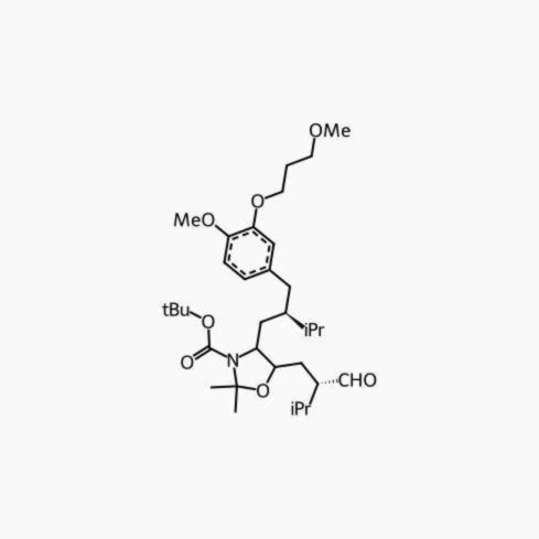 COCCCOc1cc(C[C@H](CC2C(C[C@H](C=O)C(C)C)OC(C)(C)N2C(=O)OC(C)(C)C)C(C)C)ccc1OC